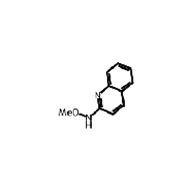 CONc1ccc2ccccc2n1